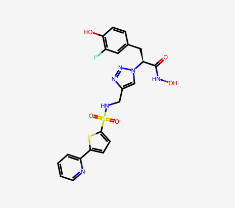 O=C(NO)[C@H](Cc1ccc(O)c(F)c1)n1cc(CNS(=O)(=O)c2ccc(-c3ccccn3)s2)nn1